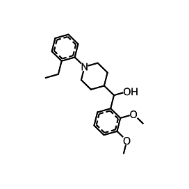 CCc1ccccc1N1CCC(C(O)c2cccc(OC)c2OC)CC1